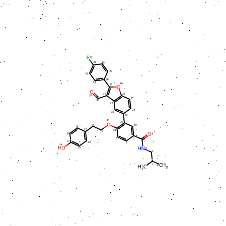 CC(C)CNC(=O)c1ccc(OCCc2ccc(O)cc2)c(-c2ccc3oc(-c4ccc(F)cc4)c(C=O)c3c2)c1